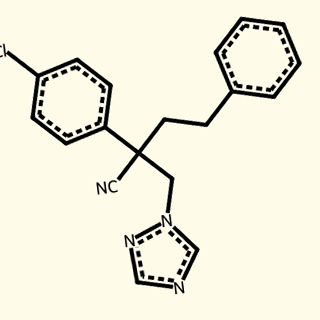 N#CC(CCc1ccccc1)(Cn1cncn1)c1ccc(Cl)cc1